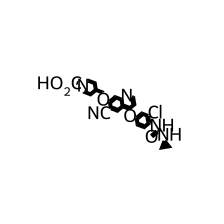 N#Cc1cc2c(Oc3ccc(NC(=O)NC4CC4)c(Cl)c3)ccnc2cc1OCC1CCN(C(=O)O)CC1